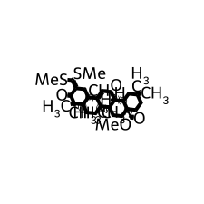 COC(=O)[C@]12CCC(C)(C)C[C@H]1[C@H]1C(=O)C=C3[C@@]4(C)CC(=C(SC)SC)C(=O)C(C)(C)[C@@H]4CC[C@@]3(C)[C@]1(C)CC2